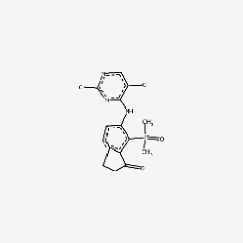 CP(C)(=O)c1c(Nc2nc(Cl)ncc2Cl)ccc2c1C(=O)CC2